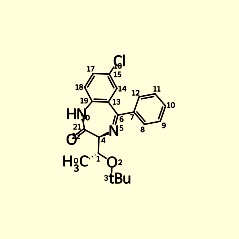 C[C@@H](OC(C)(C)C)[C@@H]1N=C(c2ccccc2)c2cc(Cl)ccc2NC1=O